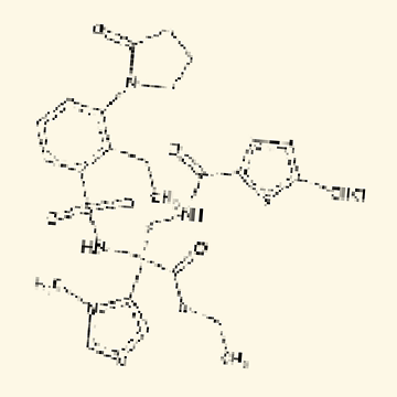 CCOC(=O)[C@](CNC(=O)c1ccc(Cl)s1)(NS(=O)(=O)c1cccc(N2CCCC2=O)c1CC)c1cncn1C.Cl